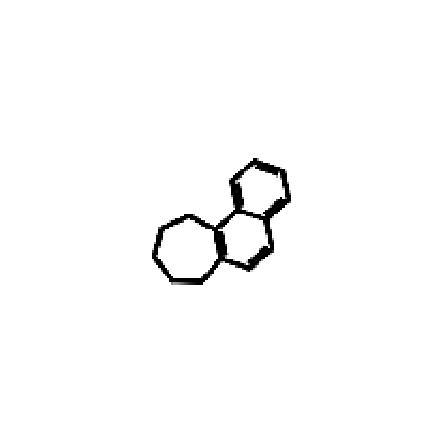 [c]1cc2ccccc2c2c1CCCCC2